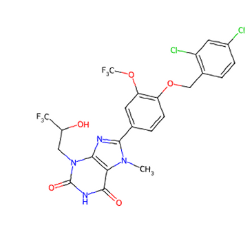 Cn1c(-c2ccc(OCc3ccc(Cl)cc3Cl)c(OC(F)(F)F)c2)nc2c1c(=O)[nH]c(=O)n2CC(O)C(F)(F)F